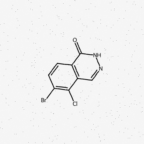 O=c1[nH]ncc2c(Cl)c(Br)ccc12